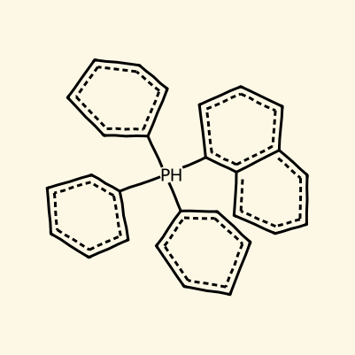 c1ccc([PH](c2ccccc2)(c2ccccc2)c2cccc3ccccc23)cc1